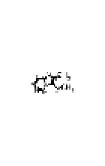 CCc1c(C)nc2ccncn12